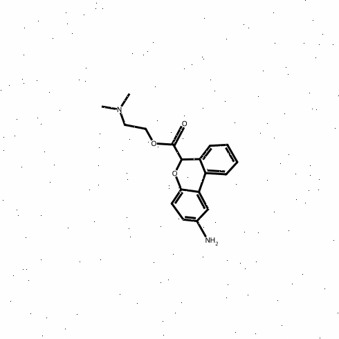 CN(C)CCOC(=O)C1Oc2ccc(N)cc2-c2ccccc21